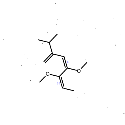 C=C(/C=C(OC)\C(=C/C)OC)C(C)C